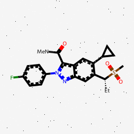 CC[C@H](c1cc2nn(-c3ccc(F)cc3)c(C(=O)NC)c2cc1C1CC1)S(C)(=O)=O